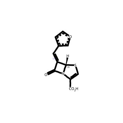 O=C(O)C1=CS[C@H]2/C(=C\c3ccoc3)C(=O)N12